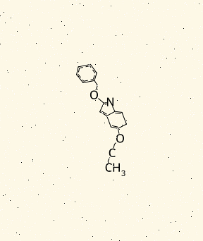 CCCCOC1=CC2=CC(OCc3ccccc3)=NC2=CC1